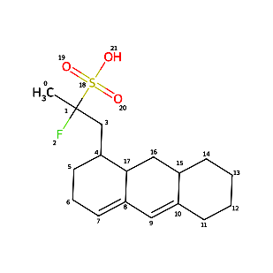 CC(F)(CC1CCC=C2C=C3CCCCC3CC21)S(=O)(=O)O